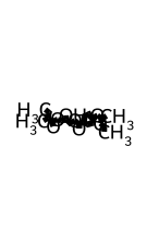 CCOC(C)Oc1ccc(C(=O)OCC(O)COC(=O)C(C)CC)cc1